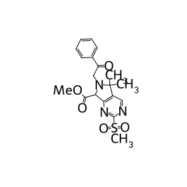 COC(=O)C1c2nc(S(C)(=O)=O)ncc2C(C)(C)N1CC(=O)c1ccccc1